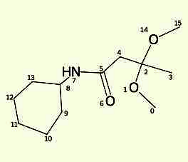 COC(C)(CC(=O)NC1CCCCC1)OC